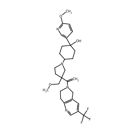 C=C(N1CCc2ncc(C(F)(F)F)cc2C1)C1(COC)CCN(C2CCC(O)(c3ccc(OC)nc3)CC2)C1